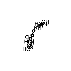 O=C(CCCNCc1ccc(-c2ccc(-c3cc4nc(OC5COC6C(O)COC56)[nH]c4cc3Cl)cc2)cc1)NC(CO)CO